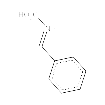 O=C(O)[N+]=Cc1ccccc1